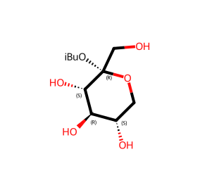 CC(C)CO[C@]1(CO)OC[C@H](O)[C@@H](O)[C@@H]1O